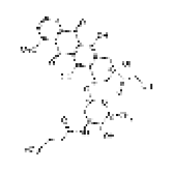 COc1cccc2c1C(=O)c1c(O)c3c(c(O)c1C2=O)C[C@@](O)(C(=O)CO)C[C@@H]3O[C@H]1C[C@H](NC(=O)CCC(=O)O)[C@@H](O)[C@H](C)O1